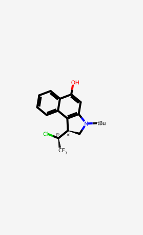 CC(C)(C)N1C[C@@H]([C@H](Cl)C(F)(F)F)c2c1cc(O)c1ccccc21